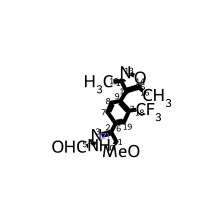 COC/C(=N\NC=O)c1ccc(-c2c(C)noc2C)c(C(F)(F)F)c1